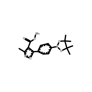 Cc1noc(-c2ccc(B3OC(C)(C)C(C)(C)O3)cc2)c1C(=O)OC(C)(C)C